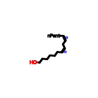 CCCCC/C=C\C/C=C\CCCCCCO